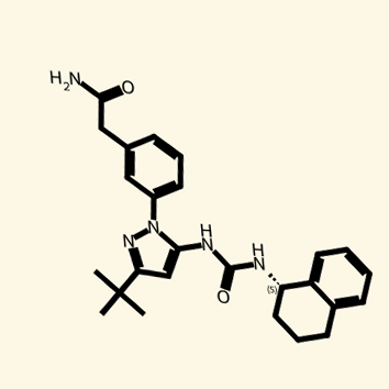 CC(C)(C)c1cc(NC(=O)N[C@H]2CCCc3ccccc32)n(-c2cccc(CC(N)=O)c2)n1